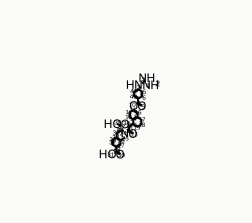 N=C(N)Nc1ccc(C(=O)Oc2ccc3c(c2)CCCC3CC(=O)N2Cc3cc(C(=O)O)ccc3C[C@@H]2C(=O)O)cc1